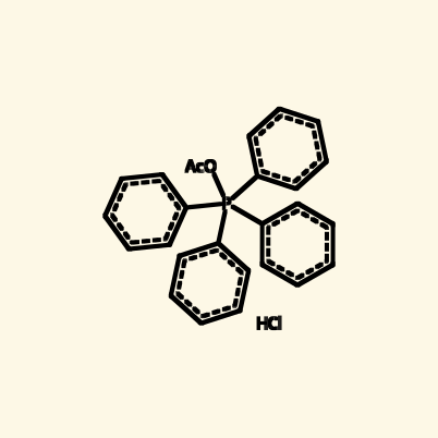 CC(=O)OP(c1ccccc1)(c1ccccc1)(c1ccccc1)c1ccccc1.Cl